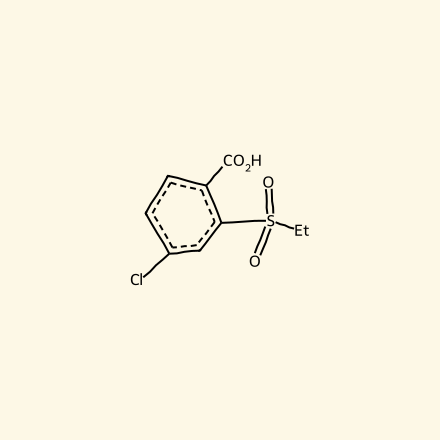 CCS(=O)(=O)c1cc(Cl)ccc1C(=O)O